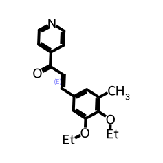 CCOc1cc(/C=C/C(=O)c2ccncc2)cc(C)c1OCC